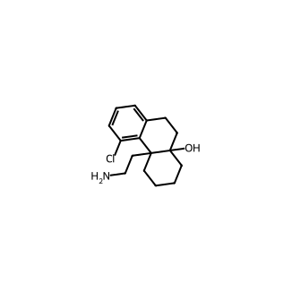 NCCC12CCCCC1(O)CCc1cccc(Cl)c12